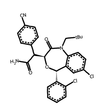 CC(C)(C)CN1C(=O)[C@H](C(C(N)=O)c2ccc(C#N)cc2)O[C@@H](c2ccccc2Cl)c2cc(Cl)ccc21